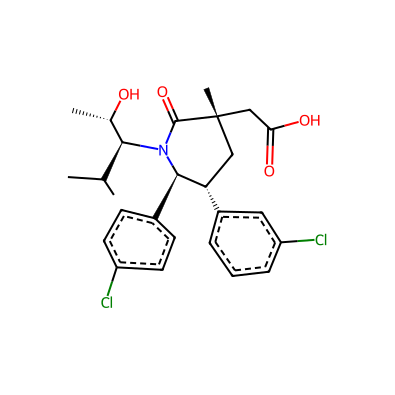 CC(C)[C@@H]([C@H](C)O)N1C(=O)[C@](C)(CC(=O)O)C[C@H](c2cccc(Cl)c2)[C@H]1c1ccc(Cl)cc1